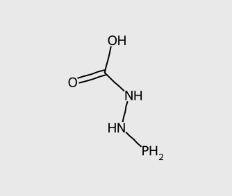 O=C(O)NNP